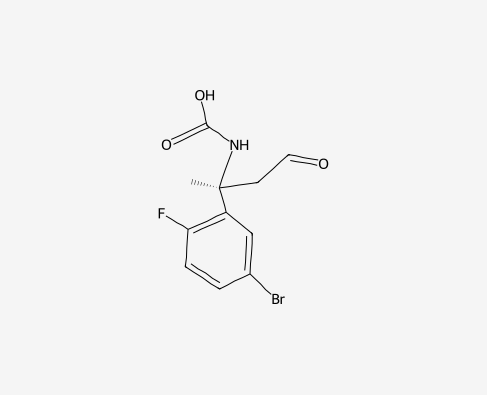 C[C@@](CC=O)(NC(=O)O)c1cc(Br)ccc1F